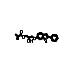 C=C(C)C(=O)OCC(O)COc1ccc2cc(-c3ccccc3)n(C)c2c1